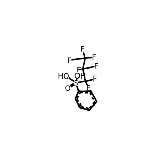 O=S(O)(O)(c1ccccc1)C(F)(F)C(F)(F)C(F)(F)F